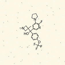 CN1CC(C)(C(O)(c2ccc(OC(F)(F)F)cc2)c2cnc(F)c(N3CCCC3)c2)C1